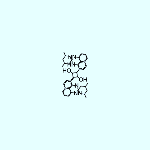 CC1CC(C)CC2(C1)N=c1c(=C3C(O)C(c4ccc5cccc6c5c4NC4(CC(C)CC(C)C4)N6)C3O)ccc3cccc(c13)N2